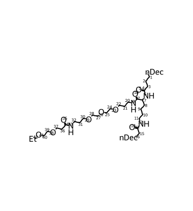 CCCCCCCCCCCCCC(=O)NC(CCCCNC(=O)CCCCCCCCCCC)C(=O)NCCCOCCOCCOCCCNC(=O)CCOCCOCC